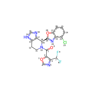 O=C(c1ocnc1C(F)F)N1CCc2[nH]cnc2[C@H]1c1nc2c(Cl)cccc2o1